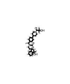 C[C@@H](c1ccc(C2CCN(C(=O)C(C)(C)O)CC2)cc1)N1CCC(CC(C)(C)O)(c2ccccc2)OC1=O